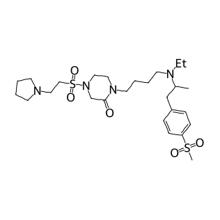 CCN(CCCCN1CCN(S(=O)(=O)CCN2CCCC2)CC1=O)C(C)Cc1ccc(S(C)(=O)=O)cc1